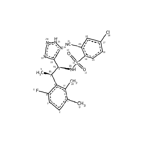 Cc1ccc(F)c([C@@H](C)[C@H](NS(=O)(=O)c2ccc(Cl)cc2C#N)c2nn[nH]n2)c1C